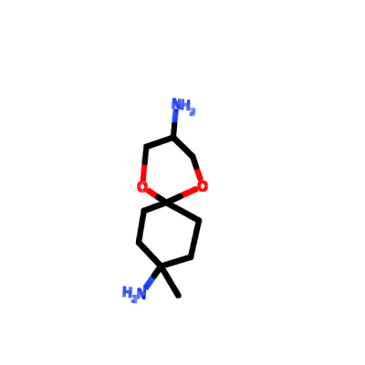 CC1(N)CCC2(CC1)OCC(N)CO2